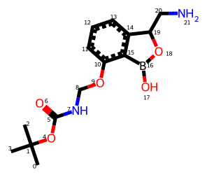 CC(C)(C)OC(=O)NCOc1cccc2c1B(O)OC2CN